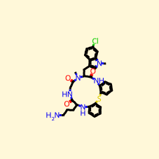 CN1C(=O)CNC(=O)C(CCCN)Nc2ccccc2Sc2ccccc2NC(=O)C1Cc1cn(C)c2cc(Cl)ccc12